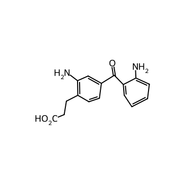 Nc1cc(C(=O)c2ccccc2N)ccc1CCC(=O)O